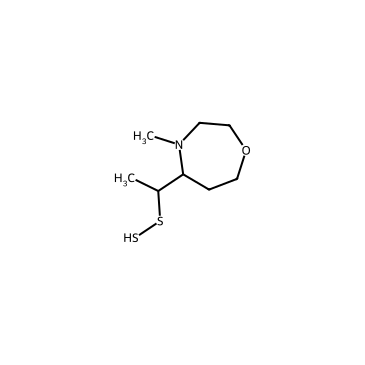 CC(SS)C1CCOCCN1C